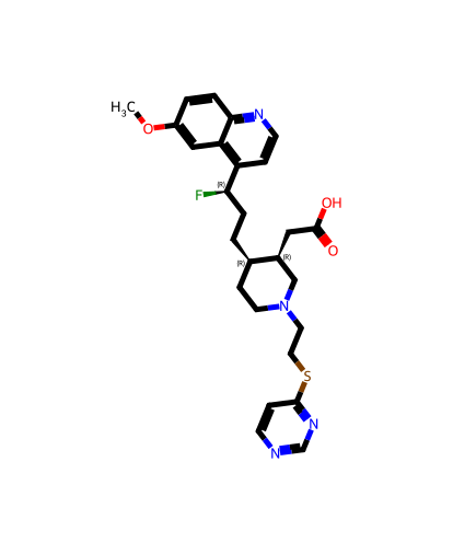 COc1ccc2nccc([C@H](F)CC[C@@H]3CCN(CCSc4ccncn4)C[C@@H]3CC(=O)O)c2c1